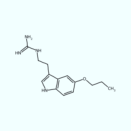 CCCOc1ccc2[nH]cc(CCNC(=N)N)c2c1